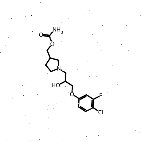 NC(=O)OCC1CCN(CC(O)COc2ccc(Cl)c(F)c2)C1